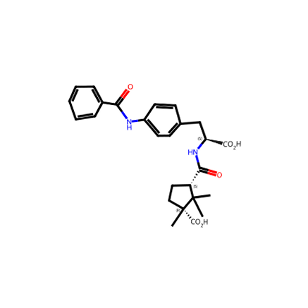 CC1(C)[C@@H](C(=O)N[C@@H](Cc2ccc(NC(=O)c3ccccc3)cc2)C(=O)O)CC[C@@]1(C)C(=O)O